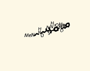 CNCCCNC(=O)C=Cc1cnc(N)c2c(-c3ccc(NC(=O)c4cc5ccccc5n4C)c(OC)c3)csc12